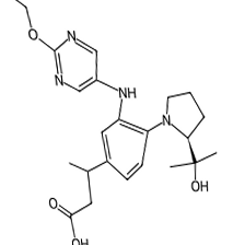 CCOc1ncc(Nc2cc(C(C)CC(=O)O)ccc2N2CCC[C@H]2C(C)(C)O)cn1